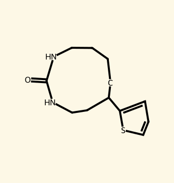 O=C1NCCCCC(c2cccs2)CCN1